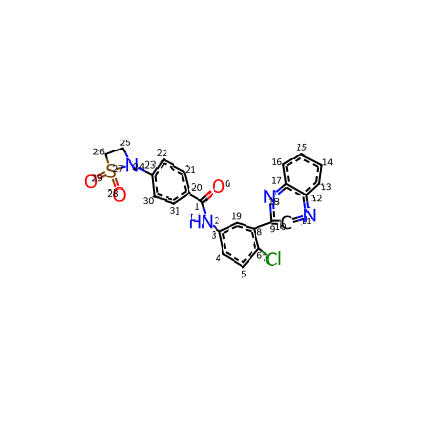 O=C(Nc1ccc(Cl)c(-c2cnc3ccccc3n2)c1)c1ccc(N2CCS2(=O)=O)cc1